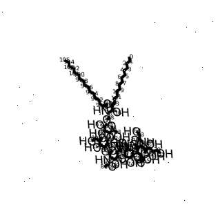 CCCCCCCCCCCCC/C=C/[C@@H](O)[C@H](CO[C@@H]1OC(CO)[C@@H](O[C@@H]2OC(CO)[C@H](O)[C@H](O[C@@H]3OC(CO)[C@@H](O[C@@H]4OC(CO)[C@H](O)[C@H](O[C@]5(C(=O)O)CC(O)[C@@H](NC(=O)CO)C([C@H](O)[C@H](O)CO)O5)C4O)[C@H](O)C3NC(C)=O)C2O)[C@H](O)C1O)NC(=O)CCCCCCCCCCCCCCC